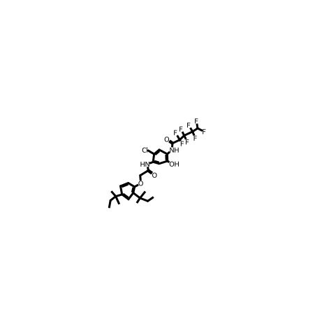 CCC(C)(C)c1ccc(OCC(=O)Nc2cc(O)c(NC(=O)C(F)(F)C(F)(F)C(F)(F)C(F)F)cc2Cl)c(C(C)(C)CC)c1